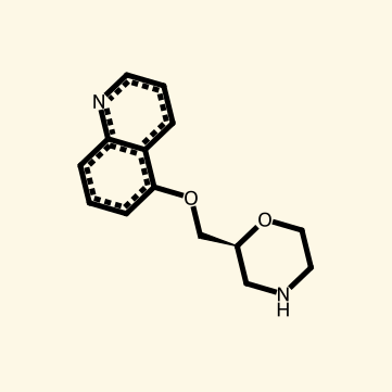 c1cc(OC[C@@H]2CNCCO2)c2cccnc2c1